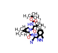 CC(C)(C)OC(=O)N[C@H](C(=O)N1C[C@H]2[C@@H]([C@H]1C(=O)NC(C#N)c1nncc3ccccc13)C2(C)C)C(C)(C)C